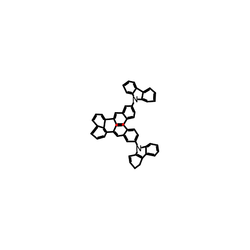 C1=Cc2c(c3ccccc3n2-c2ccc3ccc(-c4cccc5cccc(-c6ccc7ccc(-n8c9ccccc9c9ccccc98)cc7c6)c45)cc3c2)CC1